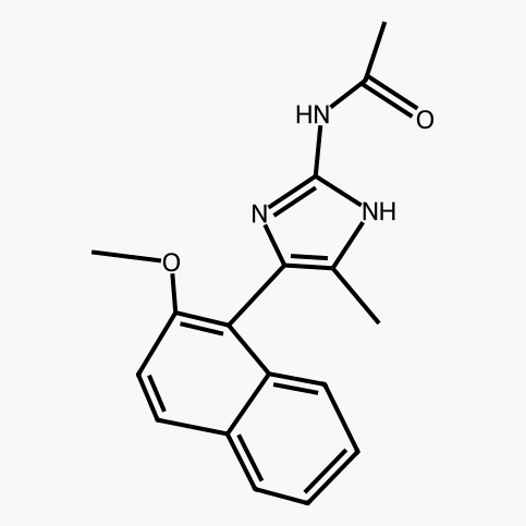 COc1ccc2ccccc2c1-c1nc(NC(C)=O)[nH]c1C